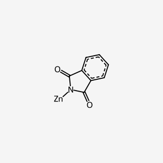 O=C1c2ccccc2C(=O)[N]1[Zn]